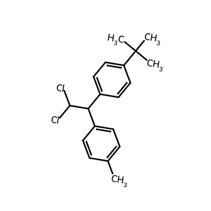 Cc1ccc(C(c2ccc(C(C)(C)C)cc2)C(Cl)Cl)cc1